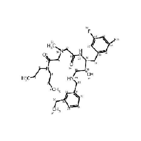 CCCN(CCC)C(=O)CN(C)CC(=O)N[C@@H](Cc1cc(F)cc(F)c1)[C@H](O)CNCc1cccc(CC)c1